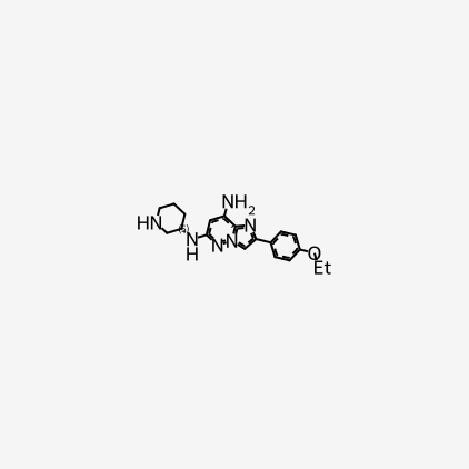 CCOc1ccc(-c2cn3nc(N[C@H]4CCCNC4)cc(N)c3n2)cc1